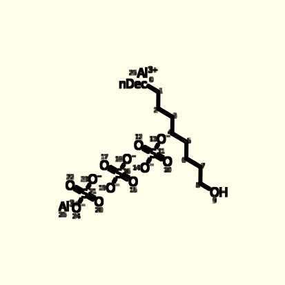 CCCCCCCCCCCCCCCCCCO.O=S(=O)([O-])[O-].O=S(=O)([O-])[O-].O=S(=O)([O-])[O-].[Al+3].[Al+3]